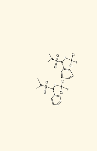 CN(C)S(=O)(=O)N(SC(F)(Cl)Cl)c1ccccc1.CN(C)S(=O)(=O)N(SC(F)(Cl)Cl)c1ccccc1